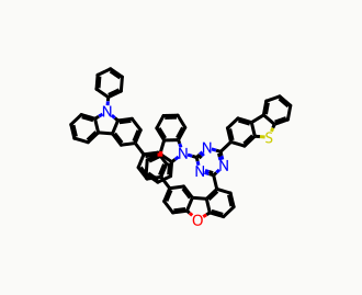 c1ccc(-n2c3ccccc3c3cc(-c4ccc(-c5ccc6oc7cccc(-c8nc(-c9ccc%10c(c9)sc9ccccc9%10)nc(-n9c%10ccccc%10c%10ccccc%109)n8)c7c6c5)cc4)ccc32)cc1